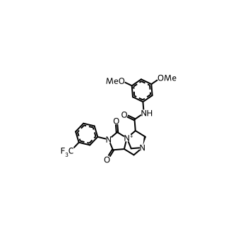 COc1cc(NC(=O)C2C[N@@]3CC4C(=O)N(c5cccc(C(F)(F)F)c5)C(=O)[N+]24C3)cc(OC)c1